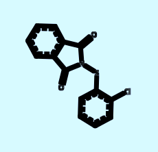 O=C1c2ccccc2C(=O)N1Sc1ccccc1Cl